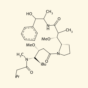 CC[C@H](C)[C@@H]([C@@H](CC(=O)N1CCC[C@H]1[C@H](OC)C(C)C(=O)NC(C)C(O)c1ccccc1)OC)N(C)C(=O)CC(C)C